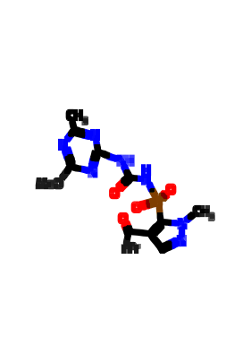 CCCC(=O)c1cnn(C)c1S(=O)(=O)NC(=O)Nc1nc(C)nc(OC)n1